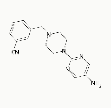 N#Cc1cccc(CN2CCN(c3ncc(N)cn3)CC2)c1